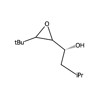 CC(C)C[C@@H](O)C1OC1C(C)(C)C